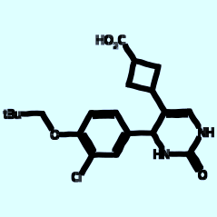 CC(C)(C)COc1ccc(C2NC(=O)NC=C2C2CC(C(=O)O)C2)cc1Cl